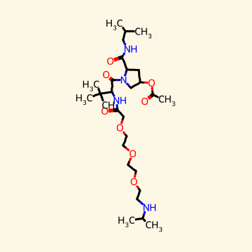 CC(=O)OC1CC(C(=O)NCC(C)C)N(C(=O)C(NC(=O)COCCOCCOCCNC(C)C)C(C)(C)C)C1